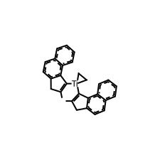 CC1=[C]([Ti]2([C]3=C(C)Cc4ccc5ccccc5c43)[CH2][CH2]2)c2c(ccc3ccccc23)C1